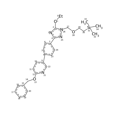 CCOc1nc(-c2ccc(-c3ccc(OCc4ccccc4)nc3)cc2)nn1COCC[Si](C)(C)C